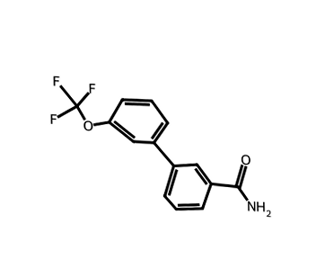 NC(=O)c1cccc(-c2cccc(OC(F)(F)F)c2)c1